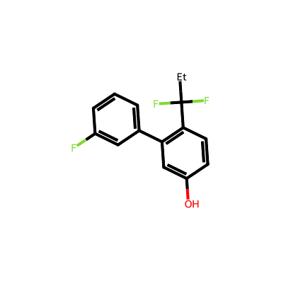 CCC(F)(F)c1ccc(O)cc1-c1cccc(F)c1